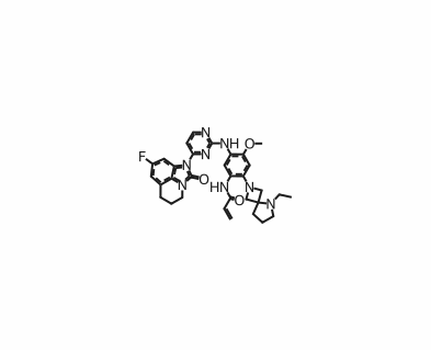 C=CC(=O)Nc1cc(Nc2nccc(-n3c(=O)n4c5c(cc(F)cc53)CCC4)n2)c(OC)cc1N1CC2(CCCN2CC)C1